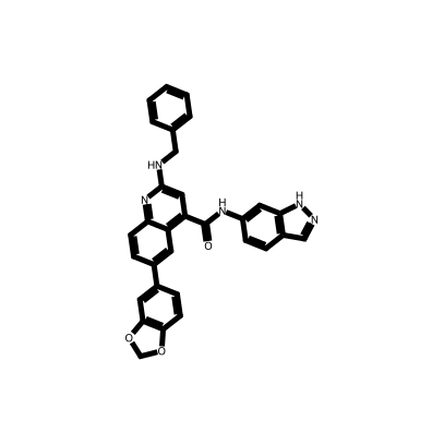 O=C(Nc1ccc2cn[nH]c2c1)c1cc(NCc2ccccc2)nc2ccc(-c3ccc4c(c3)OCO4)cc12